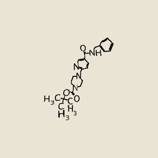 CC(C)(C)OC(=O)N1CCN(c2ccc(C(=O)NCc3ccccc3)cn2)CC1